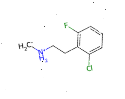 [CH2-][NH2+]CCc1c(F)cccc1Cl